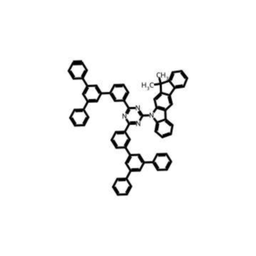 CC1(C)c2ccccc2-c2cc3c4ccccc4n(-c4nc(-c5cccc(-c6cc(-c7cc#ccc7)cc(-c7ccccc7)c6)c5)nc(-c5cccc(-c6cc(-c7ccccc7)cc(-c7ccccc7)c6)c5)n4)c3cc21